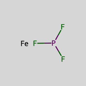 FP(F)F.[Fe]